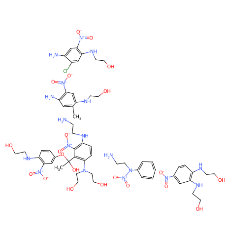 CC(O)(Oc1ccc(NCCO)c([N+](=O)[O-])c1)c1c(N(CCO)CCO)ccc(NCCN)c1[N+](=O)[O-].Cc1cc(N)c([N+](=O)[O-])cc1NCCO.NCCN(c1ccccc1)[N+](=O)[O-].Nc1cc([N+](=O)[O-])c(NCCO)cc1Cl.O=[N+]([O-])c1ccc(NCCO)c(NCCO)c1